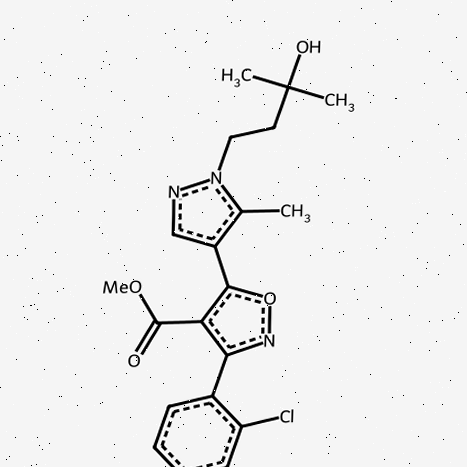 COC(=O)c1c(-c2ccccc2Cl)noc1-c1cnn(CCC(C)(C)O)c1C